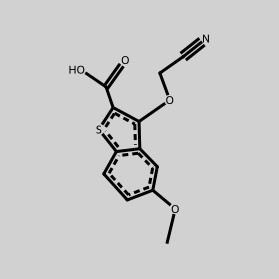 COc1ccc2sc(C(=O)O)c(OCC#N)c2c1